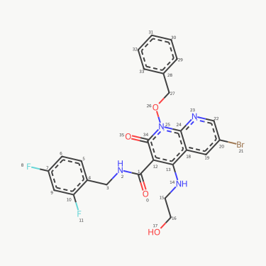 O=C(NCc1ccc(F)cc1F)c1c(NCCO)c2cc(Br)cnc2n(OCc2ccccc2)c1=O